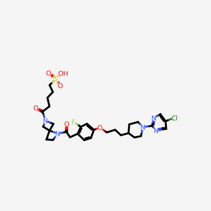 O=C(CCCCS(=O)(=O)O)N1CC2(CCN2C(=O)Cc2ccc(OCCCC3CCN(c4ncc(Cl)cn4)CC3)cc2F)C1